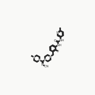 Cc1ccc(NC(=O)Nc2cccc(CN3CCN(/C(=N\C#N)N4CCN(C)CC4)CC3)c2F)cn1